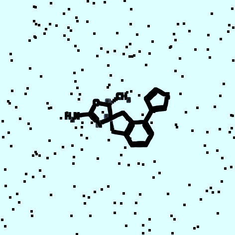 C[C@H]1OC(N)=N[C@@]12Cc1cccc(-c3ccsc3)c1C2